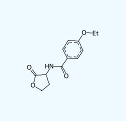 CCOc1ccc(C(=O)NC2CCOC2=O)cc1